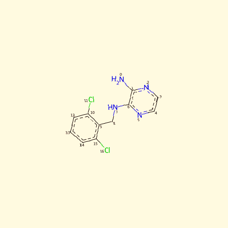 Nc1nccnc1NCc1c(Cl)cccc1Cl